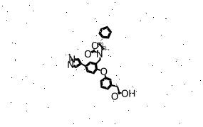 C[C@H]1[C@@H](c2ccccc2)OC(=O)N1Cc1cc(-c2cnn(C)c2)ccc1Oc1cccc(CC(=O)O)c1